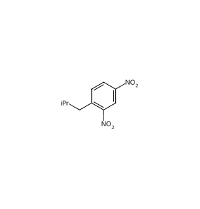 CC(C)Cc1ccc([N+](=O)[O-])cc1[N+](=O)[O-]